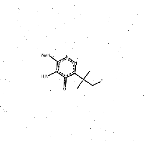 CNc1nnc(C(C)(C)CF)c(=O)n1N